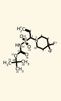 C=CC(N1CCC(F)(F)CC1)S(=O)(=O)NC(=O)OC(C)(C)C